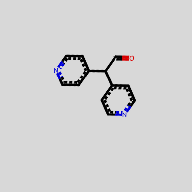 O=[C]C(c1ccncc1)c1ccncc1